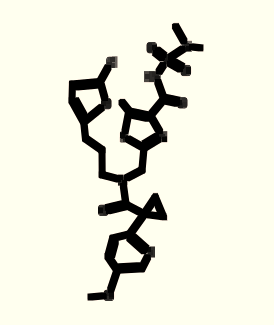 COc1ccc(C2(C(=O)N(CCCc3ccc(Cl)o3)Cc3nc(C(=O)NS(=O)(=O)N(C)C)c(C)s3)CC2)nc1